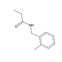 CCC(=O)NCc1ccccc1C